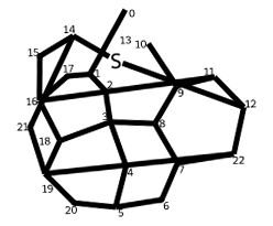 CC1CC23CC4CC5C2C(C)C2C6SC7CC2(C1)C3C(C4)(C7)C56